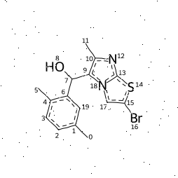 Cc1ccc(C)c(C(O)c2c(C)nc3sc(Br)cn23)c1